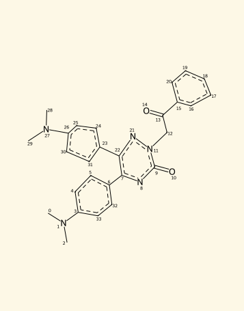 CN(C)c1ccc(-c2nc(=O)n(CC(=O)c3ccccc3)nc2-c2ccc(N(C)C)cc2)cc1